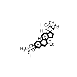 C#C[C@]1(O[Si](C)(C)C)CC[C@H]2[C@H]3[C@H](CC[C@@]21C)[C@H]1CCC(O[Si](C)(C)C)=CC1=C[C@H]3CC